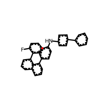 Fc1ccccc1-c1cccc2cccc(-c3ccc(Nc4ccc(-c5ccccc5)cc4)cc3)c12